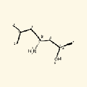 CC(C)C[C@@H](N)C[C@@H](C)O